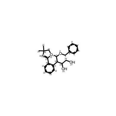 CC(OCc1ccccc1)C(c1ccccc1C1=NC(C)(C)CO1)C(O)CO